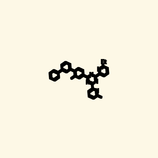 CCc1cccc(-c2nc(-c3ccc(-c4cccc(-c5ccccc5)c4)c(C)c3)nc(-c3cccc(C)n3)n2)n1